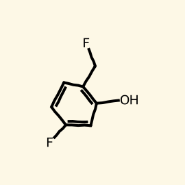 Oc1cc(F)ccc1CF